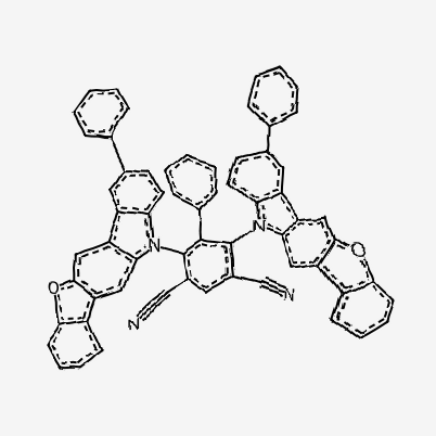 N#Cc1cc(C#N)c(-n2c3ccc(-c4ccccc4)cc3c3cc4oc5ccccc5c4cc32)c(-c2ccccc2)c1-n1c2ccc(-c3ccccc3)cc2c2cc3oc4ccccc4c3cc21